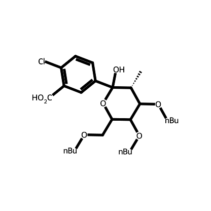 CCCCOCC1OC(O)(c2ccc(Cl)c(C(=O)O)c2)[C@H](C)C(OCCCC)C1OCCCC